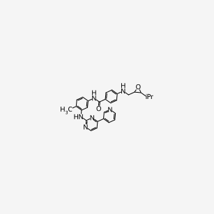 Cc1ccc(NC(=O)c2ccc(NCC3OC3C(C)C)cc2)cc1Nc1nccc(-c2cccnc2)n1